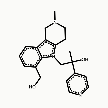 CN1CCc2c(c3cccc(CO)c3n2CC(C)(O)c2ccncc2)C1